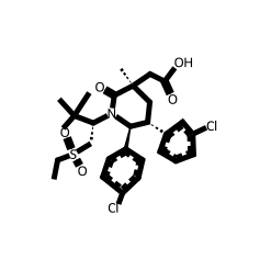 CCS(=O)(=O)C[C@@H](N1C(=O)[C@@](C)(CC(=O)O)C[C@H](c2cccc(Cl)c2)[C@H]1c1ccc(Cl)cc1)C(C)(C)C